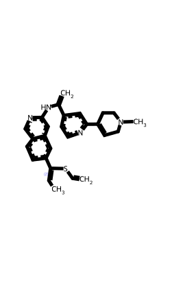 C=CS/C(=C\C)c1ccc2cnc(NC(=C)c3ccnc(C4=CCN(C)CC4)c3)cc2c1